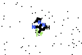 [2H]c1cc(C(F)(F)F)c(C#N)c(N2CC[C@@H]2C)n1